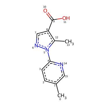 Cc1ccc(-n2ncc(C(=O)O)c2C)nc1